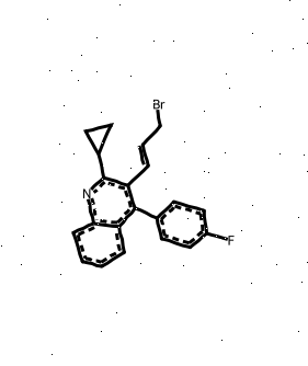 Fc1ccc(-c2c(C=CCBr)c(C3CC3)nc3ccccc23)cc1